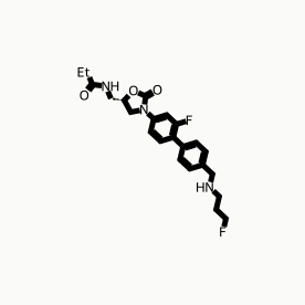 CCC(=O)NC[C@H]1CN(c2ccc(-c3ccc(CNCCCF)cc3)c(F)c2)C(=O)O1